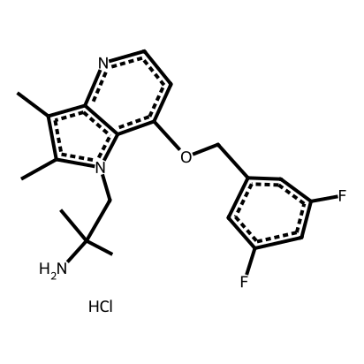 Cc1c(C)n(CC(C)(C)N)c2c(OCc3cc(F)cc(F)c3)ccnc12.Cl